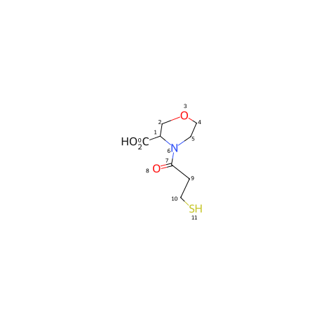 O=C(O)C1COCCN1C(=O)CCS